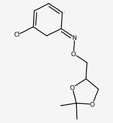 CC1(C)OCC(CON=C2[C]=CC=C(Cl)C2)O1